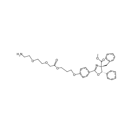 COC(=O)[C@@]1(Cc2ccccc2)N=C(c2ccc(OCCCOC(=O)COCCOCCN)cc2)O[C@H]1c1ccccc1